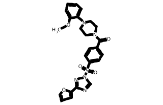 COc1ccccc1N1CCN(C(=O)c2ccc(S(=O)(=O)n3cnc(-c4ccco4)n3)cc2)CC1